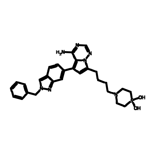 Nc1ncnn2c(CCCCN3CCS(O)(O)CC3)cc(-c3ccc4cn(Cc5ccccc5)nc4c3)c12